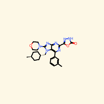 Cc1cccc(-c2nc(-c3n[nH]c(=O)o3)nc3nc(N4CCOCC4)n(C[C@H]4CC[C@H](C)CC4)c23)c1